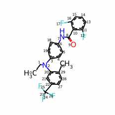 CCN(c1ccc(NC(=O)c2c(F)cccc2F)cc1)c1cc(C(F)(F)F)ccc1C